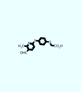 Cc1nc(Sc2ccc(OCC(=O)O)cc2)ccc1C=O